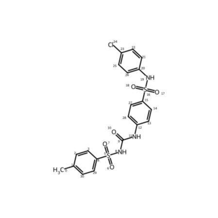 Cc1ccc(S(=O)(=O)NC(=O)Nc2ccc(S(=O)(=O)Nc3ccc(Cl)cc3)cc2)cc1